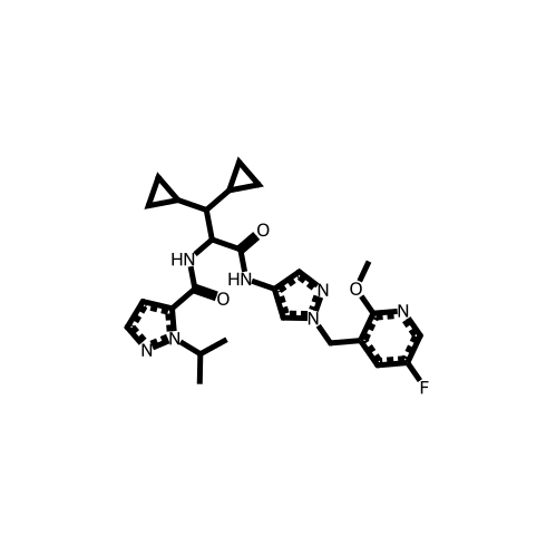 COc1ncc(F)cc1Cn1cc(NC(=O)C(NC(=O)c2ccnn2C(C)C)C(C2CC2)C2CC2)cn1